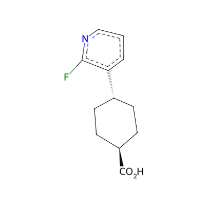 O=C(O)[C@H]1CC[C@H](c2cccnc2F)CC1